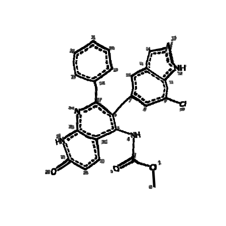 COC(=O)Nc1c(-c2cc(Cl)c3[nH]ncc3c2)c(-c2ccccc2)nc2[nH]c(=O)ccc12